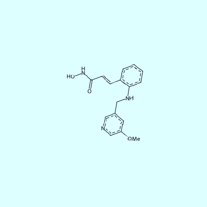 COc1cncc(CNc2ccccc2C=CC(=O)NO)c1